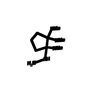 CNC1(NC)CCCC1(NC)N[SiH3]